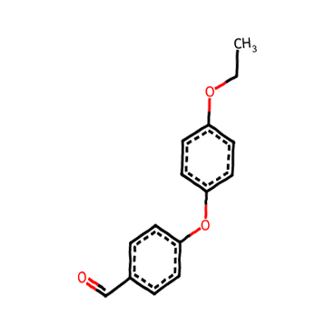 CCOc1ccc(Oc2ccc(C=O)cc2)cc1